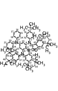 CC(C)(C)c1ccc(N2c3cc(N(c4ccccc4)c4ccccc4)cc4c3B(c3cc5c(cc3N4c3ccc4c(c3)C(C)(C)CCC4(C)C)C(C)(C)CCC5(C)C)c3oc4cc5c(cc4c32)C(C)(C)CCC5(C)C)cc1